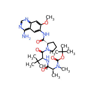 COc1cc2ncnc(N)c2cc1NC(=O)[C@@H]1CCCN1C(=O)[C@@H](NC(=O)[C@H](C)N(C)C(=O)OC(C)(C)C)C(C)(C)C